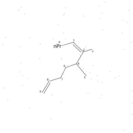 [CH2]CCC=C(C)C(C)CCC=C